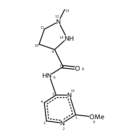 COc1nccc(NC(=O)C2CCN(C)N2)n1